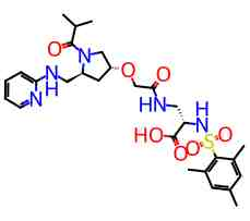 Cc1cc(C)c(S(=O)(=O)N[C@@H](CNC(=O)CO[C@@H]2C[C@@H](CNc3ccccn3)N(C(=O)C(C)C)C2)C(=O)O)c(C)c1